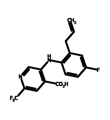 C=CCc1cc(F)ccc1Nc1cnc(C(F)(F)F)cc1C(=O)O